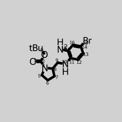 CC(C)(C)OC(=O)N1CCCC1CNc1ccc(Br)cc1N